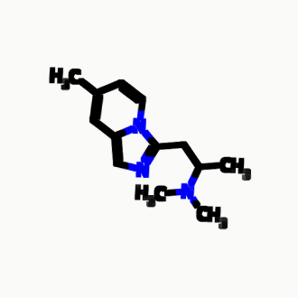 Cc1ccn2c(CC(C)N(C)C)ncc2c1